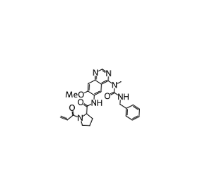 C=CC(=O)N1CCCC1C(=O)Nc1cc2c(N(C)C(=O)NCc3ccccc3)ncnc2cc1OC